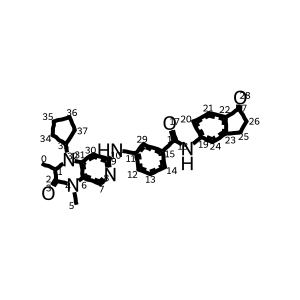 CC1C(=O)N(C)c2cnc(Nc3cccc(C(=O)Nc4ccc5c(c4)CCC5=O)c3)cc2N1C1CCCC1